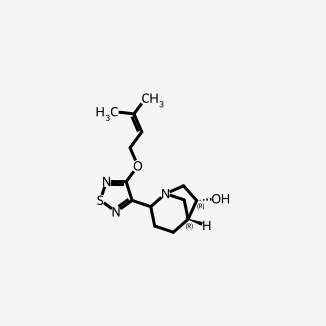 CC(C)=CCOc1nsnc1C1CC[C@@H]2CN1C[C@@H]2O